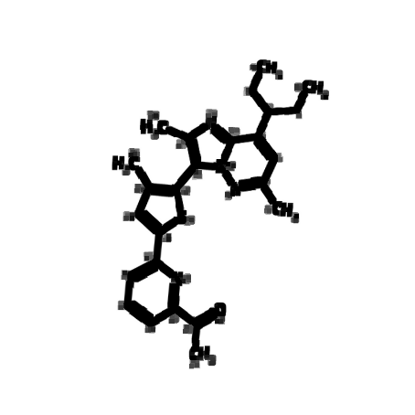 CCC(CC)c1cc(C)nn2c(-c3sc(-c4cccc(C(C)=O)n4)cc3C)c(C)nc12